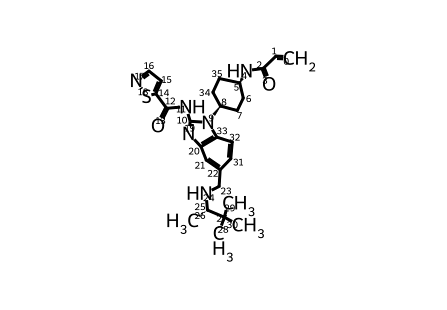 C=CC(=O)N[C@H]1CC[C@@H](n2c(NC(=O)c3ccns3)nc3cc(CN[C@@H](C)C(C)(C)C)ccc32)CC1